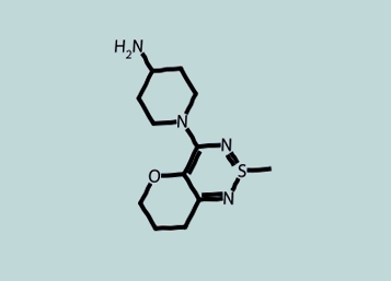 CS1=NC(N2CCC(N)CC2)=C2OCCCC2=N1